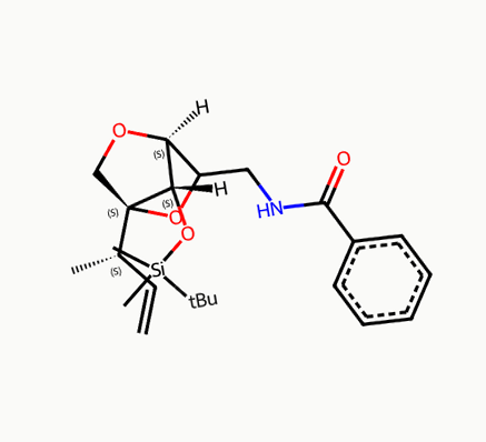 C=C[C@H](C)[C@@]12CO[C@@H](C(CNC(=O)c3ccccc3)O1)[C@@H]2O[Si](C)(C)C(C)(C)C